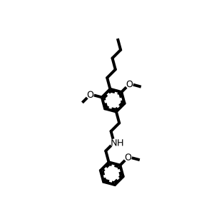 CCCCCc1c(OC)cc(CCNCc2ccccc2OC)cc1OC